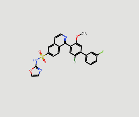 COc1cc(-c2cccc(F)c2)c(Cl)cc1-c1nccc2cc(S(=O)(=O)Nc3ncco3)ccc12